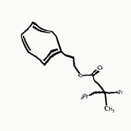 CC(C)C(C)(C(=O)OCc1ccccc1)C(C)C